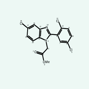 COC(=O)Cn1c(-c2cc(Cl)ccc2Cl)nc2cc(Cl)ccc21